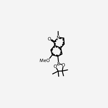 COc1cc2c(=O)n(C)ccc2cc1B1OC(C)(C)C(C)(C)O1